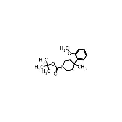 COc1ccccc1C1(C)CCN(C(=O)OC(C)(C)C)CC1